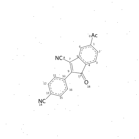 CC(=O)c1ccc2c(c1)C(C#N)=C(c1ccc(C#N)cc1)C2=O